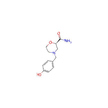 NC(=O)[C@H]1CN(Cc2ccc(O)cc2)CCO1